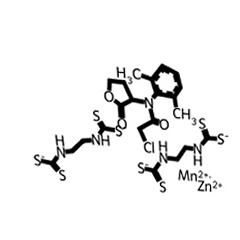 Cc1cccc(C)c1N(C(=O)CCl)C1CCOC1=O.S=C([S-])NCCNC(=S)[S-].S=C([S-])NCCNC(=S)[S-].[Mn+2].[Zn+2]